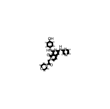 O=C(Cn1ccc2cc(Nc3cnccn3)nc(N[C@H]3CC[C@@H](O)CC3)c2c1=O)N1CCOCC1